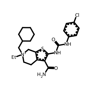 CC[N+]1(CC2CCCCC2)CCc2c(sc(NC(=O)Nc3ccc(Cl)cc3)c2C(N)=O)C1